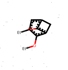 CCOc1c(CC)cc2c(O)c1C2